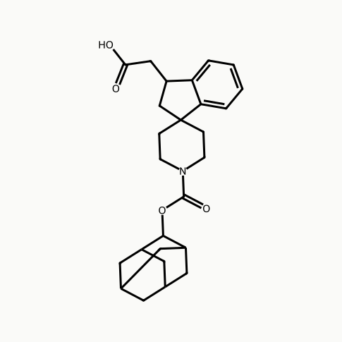 O=C(O)CC1CC2(CCN(C(=O)OC3C4CC5CC(C4)CC3C5)CC2)c2ccccc21